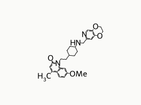 COc1ccc2c(C)cc(=O)n(CCC3CCC(NCc4cc5c(cn4)OCCO5)CC3)c2c1